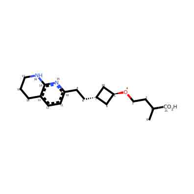 CC(CCO[C@H]1C[C@H](CCc2ccc3c(n2)NCCC3)C1)C(=O)O